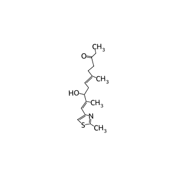 CCC(=O)CC/C(C)=C/CC(O)/C(C)=C/c1csc(C)n1